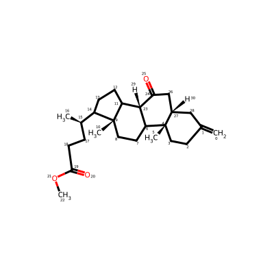 C=C1CC[C@]2(C)C3CC[C@@]4(C)C(CCC4[C@H](C)CCC(=O)OC)[C@@H]3C(=O)C[C@@H]2C1